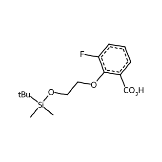 CC(C)(C)[Si](C)(C)OCCOc1c(F)cccc1C(=O)O